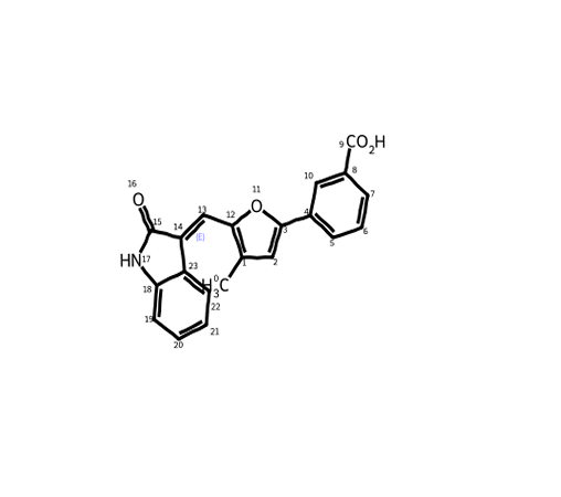 Cc1cc(-c2cccc(C(=O)O)c2)oc1/C=C1/C(=O)Nc2ccccc21